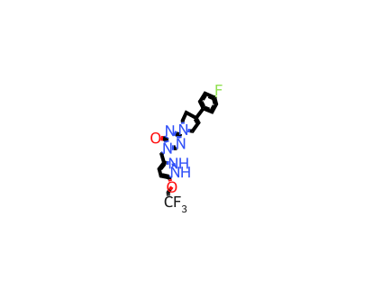 O=c1nc(N2CC=C(c3ccc(F)cc3)CC2)ncn1CC1=CC=C(OCC(F)(F)F)NN1